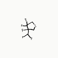 FC(F)C1(F)CSCC1(F)F